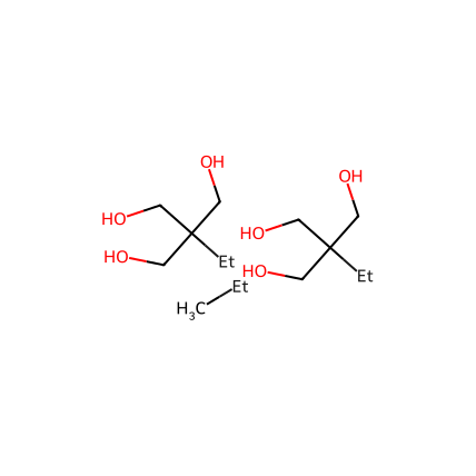 CCC.CCC(CO)(CO)CO.CCC(CO)(CO)CO